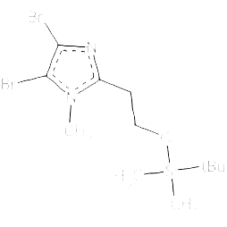 Cn1c(CCO[Si](C)(C)C(C)(C)C)nc(Br)c1Br